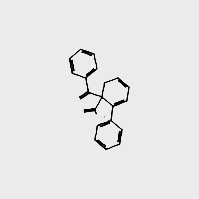 COC(=O)C1(C(=O)c2ccccc2)CC=CC=C1c1ccccc1